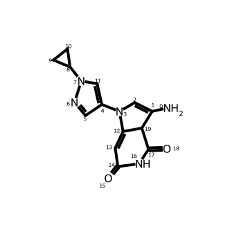 NC1=CN(c2cnn(C3CC3)c2)C2=CC(=O)NC(=O)C12